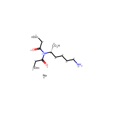 CCCCCCCCCCCC(=O)N(C(=O)CCCCCCCCCCC)[C@@H](CCCCN)C(=O)O.[Na]